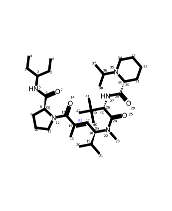 CCC(CC)NC(=O)[C@@H]1CCCN1C(=O)/C(C)=C/[C@H](C(C)C)N(C)C(=O)[C@@H](NC(=O)[C@H]1CCCCN1C(C)C)C(C)(C)C